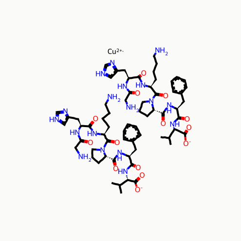 CC(C)[C@H](NC(=O)[C@H](Cc1ccccc1)NC(=O)[C@@H]1CCCN1C(=O)[C@H](CCCCN)NC(=O)[C@H](Cc1c[nH]cn1)NC(=O)CN)C(=O)[O-].CC(C)[C@H](NC(=O)[C@H](Cc1ccccc1)NC(=O)[C@@H]1CCCN1C(=O)[C@H](CCCCN)NC(=O)[C@H](Cc1c[nH]cn1)NC(=O)CN)C(=O)[O-].[Cu+2]